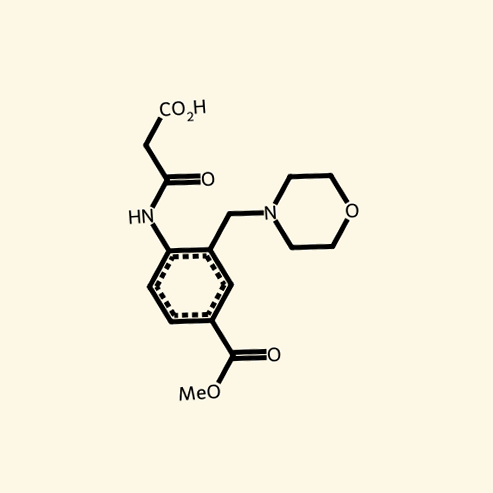 COC(=O)c1ccc(NC(=O)CC(=O)O)c(CN2CCOCC2)c1